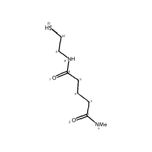 CNC(=O)CCCC(=O)NCCS